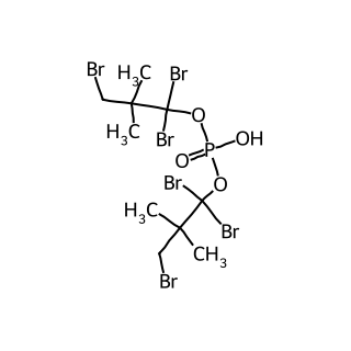 CC(C)(CBr)C(Br)(Br)OP(=O)(O)OC(Br)(Br)C(C)(C)CBr